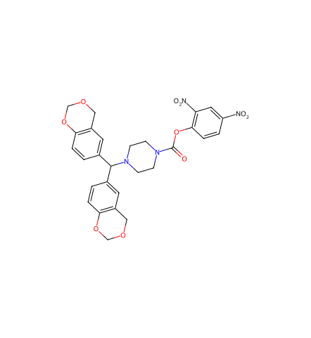 O=C(Oc1ccc([N+](=O)[O-])cc1[N+](=O)[O-])N1CCN(C(c2ccc3c(c2)COCO3)c2ccc3c(c2)COCO3)CC1